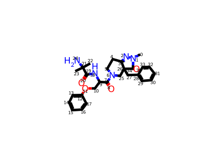 CN1N=C2CCN(C(=O)C(COc3ccccc3)NC(=O)C(C)(C)N)CC2(Cc2ccccc2)C1=O